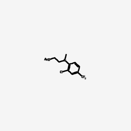 CC(=O)OCCN(C)c1ccc(C(F)(F)F)cc1Cl